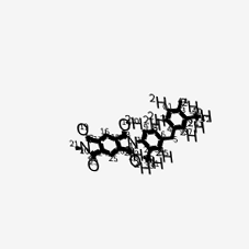 [2H]c1c([2H])c(Cc2c([2H])c([2H])c(-n3c(=O)c4cc5c(=O)n(C)c(=O)c5cc4c3=O)c(C([2H])([2H])[2H])c2[2H])c([2H])c(C([2H])([2H])[2H])c1C